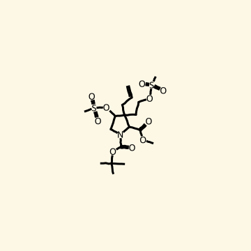 C=CCC1(CCOS(C)(=O)=O)C(OS(C)(=O)=O)CN(C(=O)OC(C)(C)C)C1C(=O)OC